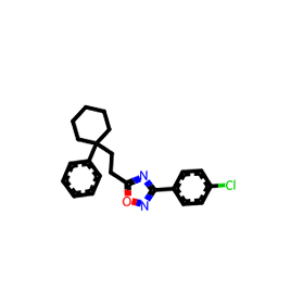 Clc1ccc(-c2noc(CCC3(c4ccccc4)CCCCC3)n2)cc1